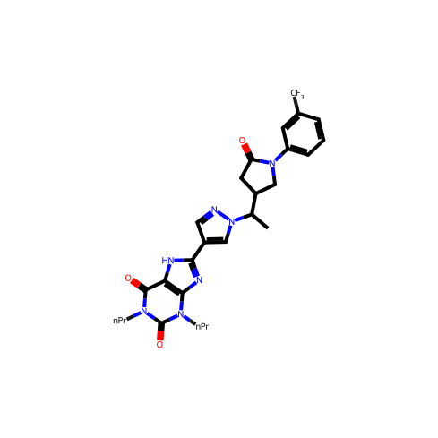 CCCn1c(=O)c2[nH]c(-c3cnn(C(C)C4CC(=O)N(c5cccc(C(F)(F)F)c5)C4)c3)nc2n(CCC)c1=O